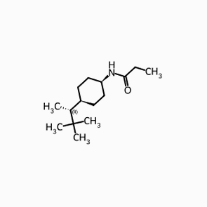 CCC(=O)N[C@H]1CC[C@@H]([C@@H](C)C(C)(C)C)CC1